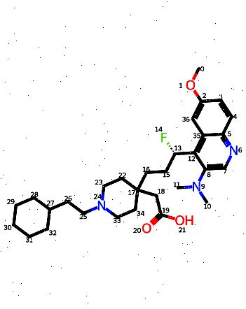 COc1ccc2ncc(N(C)C)c([C@@H](F)CCC3(CC(=O)O)CCN(CCC4CCCCC4)CC3)c2c1